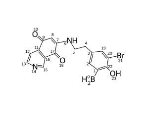 Bc1cc(CCNC2=CC(=O)c3ccncc3C2=O)cc(Br)c1O